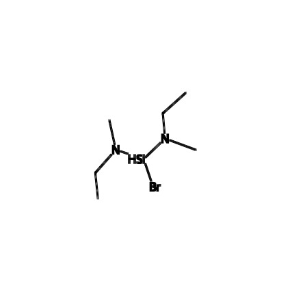 CCN(C)[SiH](Br)N(C)CC